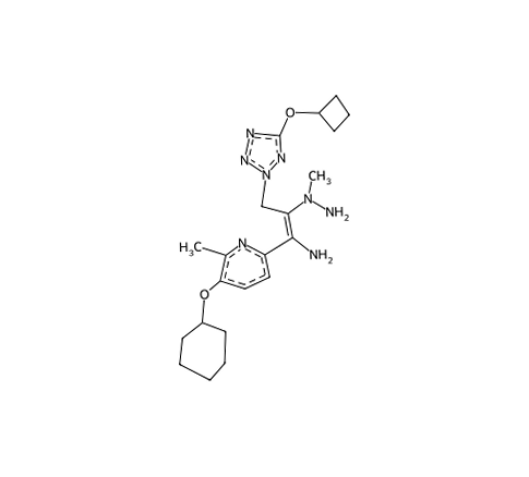 Cc1nc(/C(N)=C(\Cn2nnc(OC3CCC3)n2)N(C)N)ccc1OC1CCCCC1